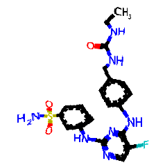 CCNC(=O)NCc1ccc(Nc2nc(Nc3cccc(S(N)(=O)=O)c3)ncc2F)cc1